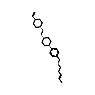 C=C[C@H]1CC[C@H](CC[C@H]2CC[C@H](c3ccc(COCC/C=C/C)cc3)CC2)CC1